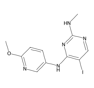 CNc1ncc(I)c(Nc2ccc(OC)nc2)n1